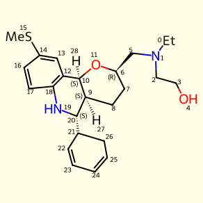 CCN(CCO)C[C@H]1CC[C@@H]2[C@H](O1)c1cc(SC)ccc1N[C@H]2C1C=CC=CC1